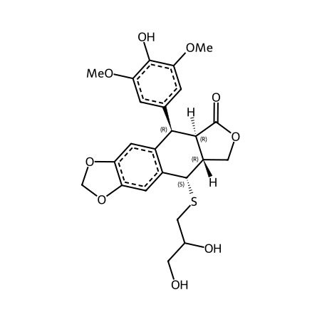 COc1cc([C@@H]2c3cc4c(cc3[C@@H](SCC(O)CO)[C@H]3COC(=O)[C@H]23)OCO4)cc(OC)c1O